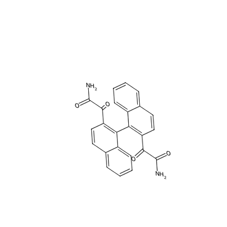 NC(=O)C(=O)c1ccc2ccccc2c1-c1c(C(=O)C(N)=O)ccc2ccccc12